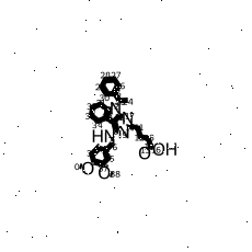 COc1ccc(CNc2nc(CCCC(=O)O)nc3c2c2c(n3C(C)c3ccccc3)CCCC2)cc1OC